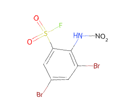 O=[N+]([O-])Nc1c(Br)cc(Br)cc1S(=O)(=O)F